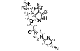 N#Cc1ccc(N2CCN(C(=O)CCOC[C@@H]3C[C@H](C(F)(F)F)CN3c3cn[nH]c(=O)c3C(F)(F)F)CC2)nc1